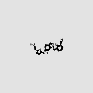 N#Cc1cccc(Cn2ncc3cnc(Nc4ccn(CCO)n4)cc32)c1F